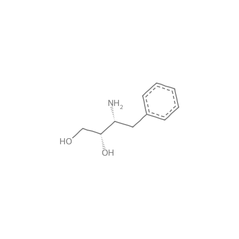 N[C@H](Cc1ccccc1)[C@H](O)CO